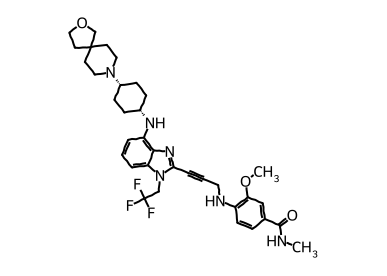 CNC(=O)c1ccc(NCC#Cc2nc3c(N[C@H]4CC[C@@H](N5CCC6(CCOC6)CC5)CC4)cccc3n2CC(F)(F)F)c(OC)c1